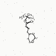 CC(C)(C)OC(=O)C=CCN1CCOCC1